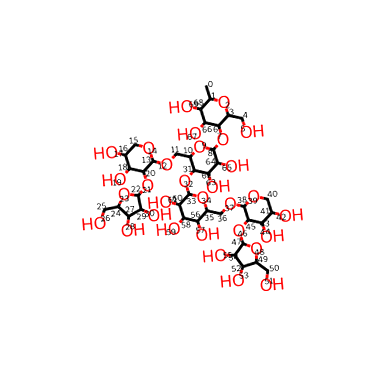 CC1OC(CO)C(OC2OC(COC3OCC(O)C(O)C3OC3OC(CO)C(O)C3O)C(OC3OC(COC4OCC(O)C(O)C4OC4OC(CO)C(O)C4O)C(O)C(O)C3O)C(O)C2O)C(O)C1O